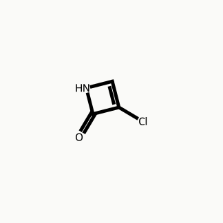 O=C1NC=C1Cl